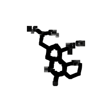 CN(C)Cc1cc(O)c2c3c(c(=O)[nH]c2c1)CCCN3.Cl.Cl